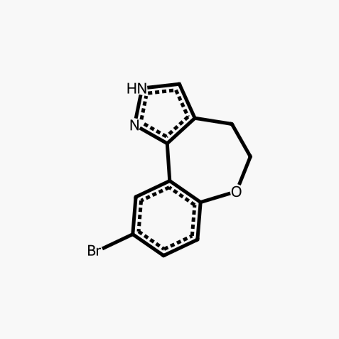 Brc1ccc2c(c1)-c1n[nH]cc1CCO2